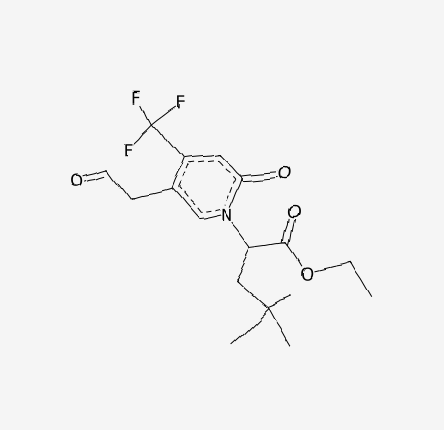 CCOC(=O)C(CC(C)(C)C)n1cc(CC=O)c(C(F)(F)F)cc1=O